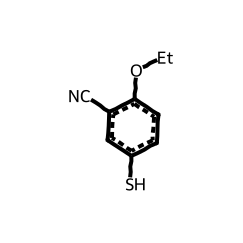 CCOc1ccc(S)cc1C#N